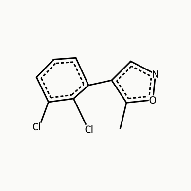 Cc1oncc1-c1cccc(Cl)c1Cl